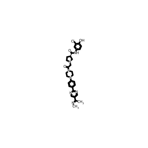 C/N=C(\C)c1cnc(-c2ccc(N3CCN(C(=O)CN4CC[C@@H](C(=O)Nc5ccc(O)c(Cl)c5)C4)CC3)cc2)nc1